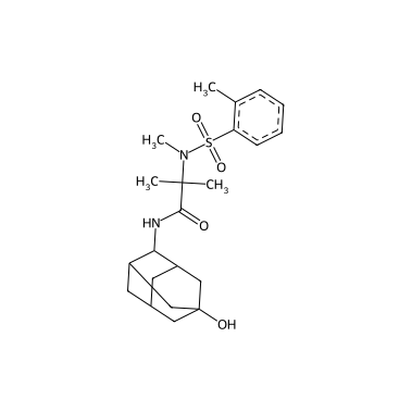 Cc1ccccc1S(=O)(=O)N(C)C(C)(C)C(=O)NC1C2CC3CC1CC(O)(C3)C2